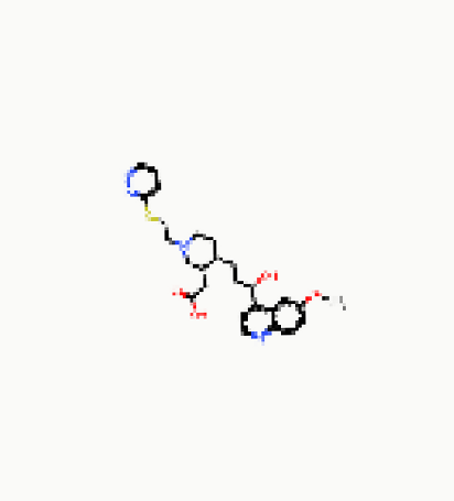 COc1ccc2nccc([C@H](O)CC[C@@H]3CCN(CCSc4cccnn4)C[C@@H]3CC(=O)O)c2c1